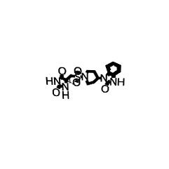 C[C@]1(CS(=O)(=O)N2CCC(n3c(=O)[nH]c4ccccc43)CC2)NC(=O)NC1=O